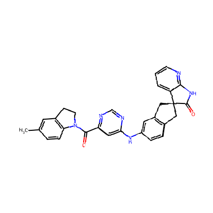 Cc1ccc2c(c1)CCN2C(=O)c1cc(Nc2ccc3c(c2)C[C@]2(C3)C(=O)Nc3ncccc32)ncn1